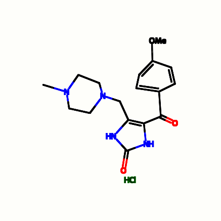 COc1ccc(C(=O)c2[nH]c(=O)[nH]c2CN2CCN(C)CC2)cc1.Cl